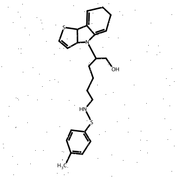 Cc1ccc(SNCCCCC(CO)N2C3=CCCC=C3C3SC=CC32)cc1